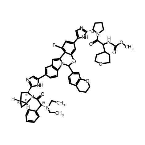 CCN(CC)[C@@H](C(=O)N1[C@@H]2C[C@@H]2C[C@H]1c1ncc(-c2ccc3c(c2)cc2n3C(c3ccc4c(c3)OCCC4)Oc3cc(-c4cnc([C@@H]5CCCN5C(=O)C(NC(=O)OC)C5CCOCC5)[nH]4)cc(F)c3-2)[nH]1)c1ccccc1